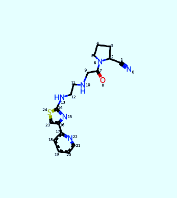 N#CC1CCCN1C(=O)CNCCNc1nc(-c2ccccn2)cs1